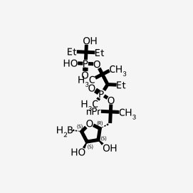 B[C@@H]1O[C@H](CC(C)(CCC)OP(C)(=O)C(CC)C(C)(C)OP(=O)(O)C(O)(CC)CC)[C@@H](O)[C@H]1O